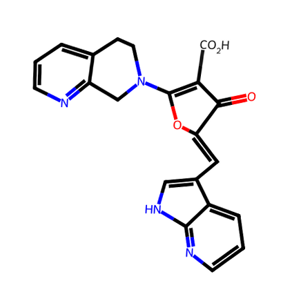 O=C(O)C1=C(N2CCc3cccnc3C2)OC(=Cc2c[nH]c3ncccc23)C1=O